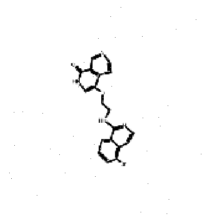 O=c1[nH]cc(OCCNc2nccc3c(Br)cccc23)c2ccncc12